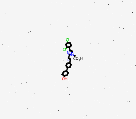 O=C(O)Cn1cc(-c2ccc(Cl)cc2Cl)nc1/C=C/c1ccc(-c2ccc(O)cc2)cc1